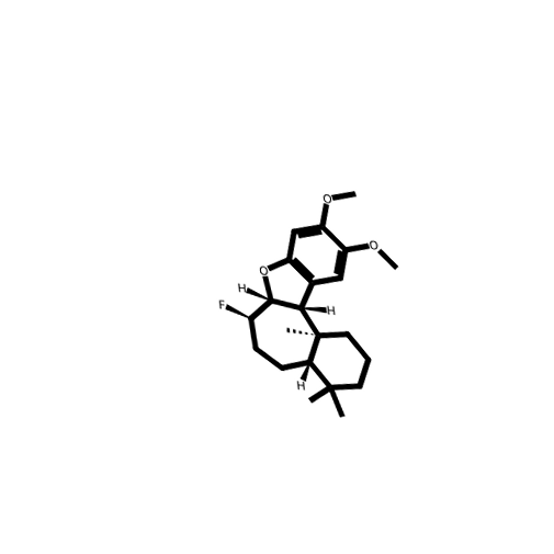 COc1cc2c(cc1OC)[C@H]1[C@@H](O2)[C@H](F)CC[C@H]2C(C)(C)CCC[C@]12C